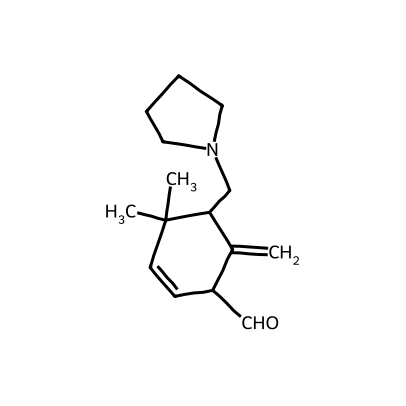 C=C1C(C=O)C=CC(C)(C)C1CN1CCCC1